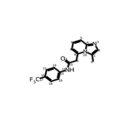 Cc1cnc2cccc(CC(=O)Nc3ccc(C(F)(F)F)cc3)n12